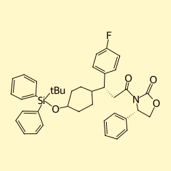 CC(C)(C)[Si](OC1CCC([C@@H](CC(=O)N2C(=O)OC[C@@H]2c2ccccc2)c2ccc(F)cc2)CC1)(c1ccccc1)c1ccccc1